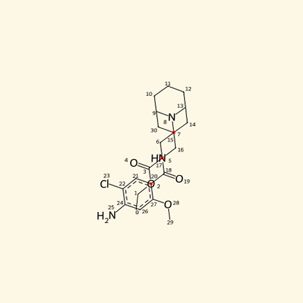 CCOC(=O)CCCN1C2CCCC1CC(CNC(=O)c1cc(Cl)c(N)cc1OC)C2